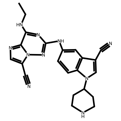 CCNc1nc(Nc2ccc3c(c2)c(C#N)cn3C2CCNCC2)nn2c(C#N)cnc12